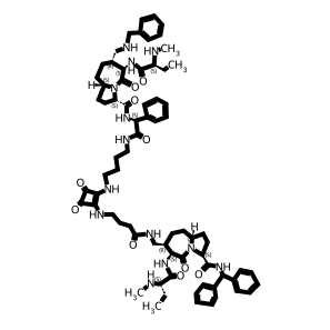 CC[C@H](NC)C(=O)N[C@@H]1C(=O)N2[C@@H](CC[C@@H]1CNC(=O)CCCNc1c(NCCCCNC(=O)[C@@H](NC(=O)[C@@H]3CC[C@@H]4CC[C@H](CNCc5ccccc5)[C@H](NC(=O)[C@H](CC)NC)C(=O)N43)c3ccccc3)c(=O)c1=O)CC[C@H]2C(=O)NC(c1ccccc1)c1ccccc1